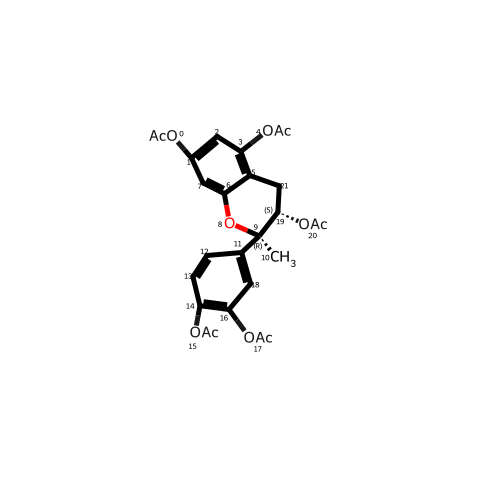 CC(=O)Oc1cc(OC(C)=O)c2c(c1)O[C@](C)(c1ccc(OC(C)=O)c(OC(C)=O)c1)[C@@H](OC(C)=O)C2